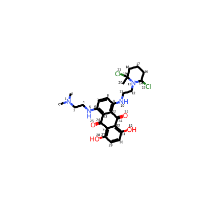 CN(C)CCNc1ccc(NCCN2C(Cl)CCCC2(C)Cl)c2c1C(=O)c1c(O)ccc(O)c1C2=O